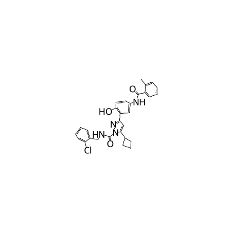 Cc1ccccc1C(=O)Nc1ccc(O)c(-c2cc(C3CCC3)n(C(=O)NCc3ccccc3Cl)n2)c1